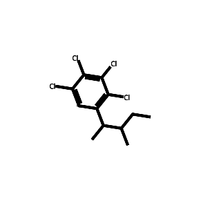 CCC(C)C(C)c1[c]c(Cl)c(Cl)c(Cl)c1Cl